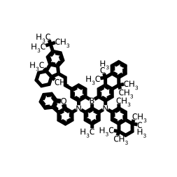 Cc1cc2c3c(c1)N(c1cccc4c1oc1ccccc14)c1cc(CCC4c5ccc(C(C)(C)C)cc5C5(C)CCCCC45C)ccc1B3c1cc3c(cc1N2c1cc2c(cc1C)C(C)(C)CCC2(C)C)C(C)(C)c1ccccc1C3(C)C